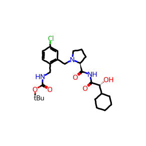 CC(C)(C)OC(=O)NCc1ccc(Cl)cc1CN1CCC[C@H]1C(=O)NC(=O)[C@H](O)C1CCCCC1